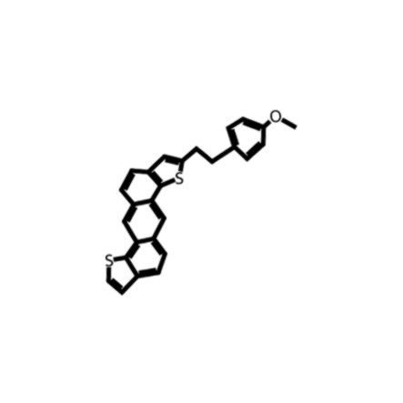 COc1ccc(CCc2cc3ccc4cc5c(ccc6ccsc65)cc4c3s2)cc1